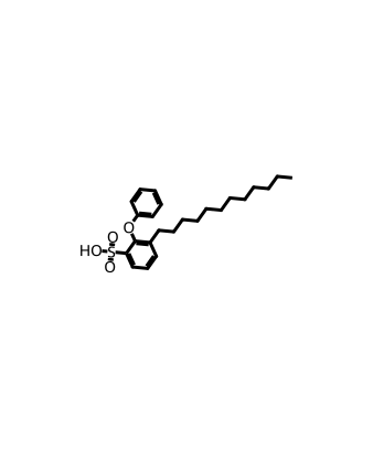 CCCCCCCCCCCCc1cccc(S(=O)(=O)O)c1Oc1ccccc1